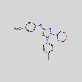 COc1ccc(N=c2nc(N3CCOCC3)n(-c3ccc(Br)cc3)s2)cc1